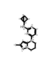 Ic1cc2n(n1)CCCN2c1ccnc(NC23CC(C2)C3)n1